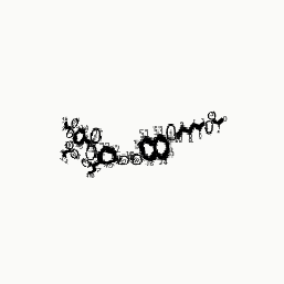 C=CC(=O)OCCCCCCOc1ccc2cc(OCOc3ccc(OC(=O)c4ccc(OC(=O)C=C)c(OC(=O)C=C)c4)c(C(=O)CC)c3)ccc2c1